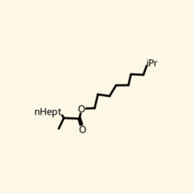 CCCCCCCC(C)C(=O)OCCCCCCCC(C)C